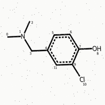 CN(C)Cc1ccc(O)c(Cl)c1